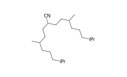 CC(C)CCCC(C)CCC(C#N)CCC(C)CCCC(C)C